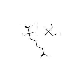 CC(N)(CO)CO.NC(N)(CCCCC(=O)O)C(=O)O